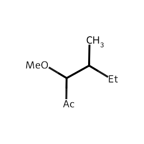 CCC(C)C(OC)C(C)=O